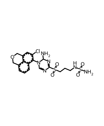 NC1N=C(S(=O)(=O)CCCNS(N)(=O)=O)N=CN1c1c(Cl)cc2c3c(cccc13)COC2